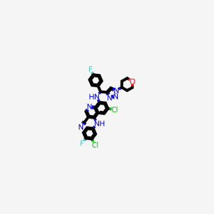 N#Cc1cnc2c(NC(c3ccc(F)cc3)c3cn(C4CCOCC4)nn3)cc(Cl)cc2c1Nc1ccc(F)c(Cl)c1